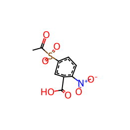 CC(=O)S(=O)(=O)c1ccc([N+](=O)[O-])c(C(=O)O)c1